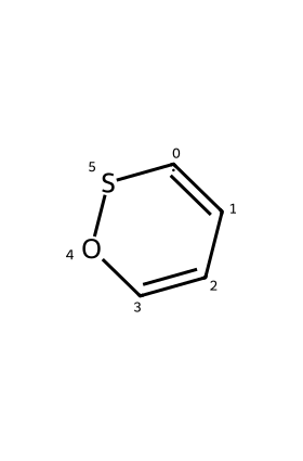 [C]1=CC=COS1